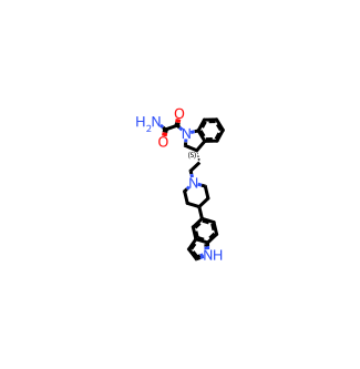 NC(=O)C(=O)N1C[C@@H](CCN2CCC(c3ccc4[nH]ccc4c3)CC2)c2ccccc21